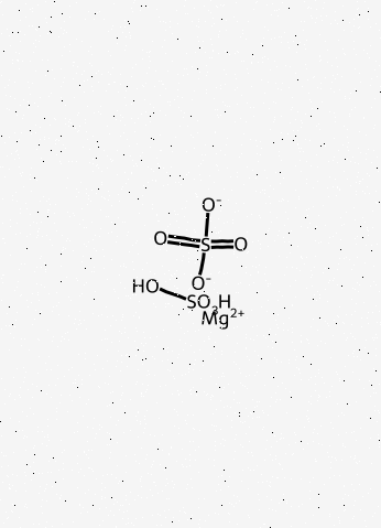 O=S(=O)(O)O.O=S(=O)([O-])[O-].[Mg+2]